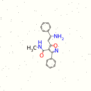 CNC(=O)c1c(-c2ccccc2)noc1C=C(N)c1ccccc1